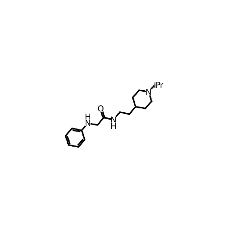 CC(C)N1CCC(CCNC(=O)CNc2ccccc2)CC1